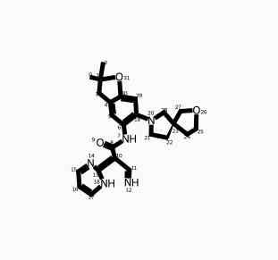 CC1(C)Cc2cc(NC(=O)/C(C=N)=C3\N=CC=CN3)c(N3CC[C@@]4(CCOC4)C3)cc2O1